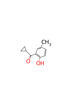 Cc1ccc(O)c(C(=O)C2CC2)c1